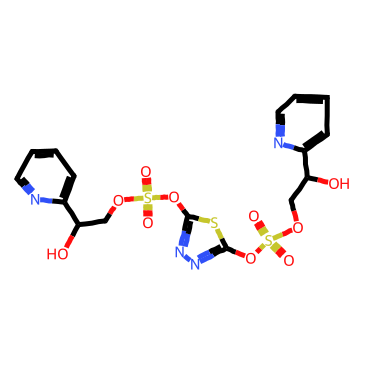 O=S(=O)(OCC(O)c1ccccn1)Oc1nnc(OS(=O)(=O)OCC(O)c2ccccn2)s1